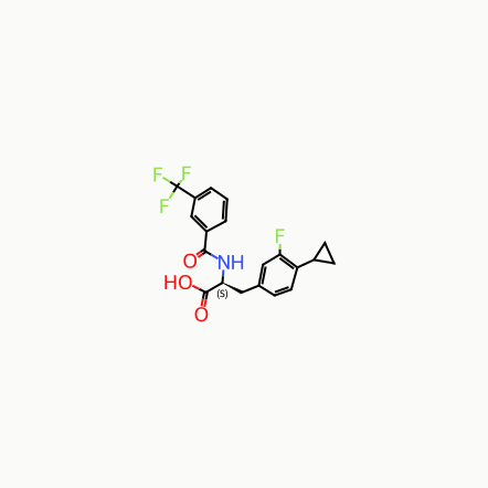 O=C(N[C@@H](Cc1ccc(C2CC2)c(F)c1)C(=O)O)c1cccc(C(F)(F)F)c1